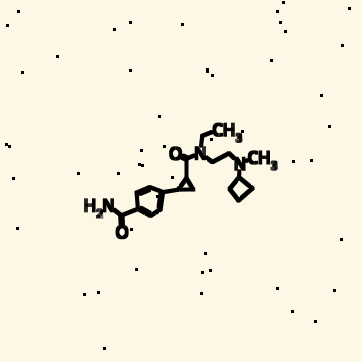 CCN(CCN(C)C1CCC1)C(=O)C1CC1c1ccc(C(N)=O)cc1